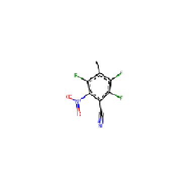 Cc1c(F)c(F)c(C#N)c([N+](=O)[O-])c1F